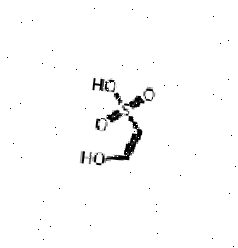 O=S(=O)(O)/C=C\O